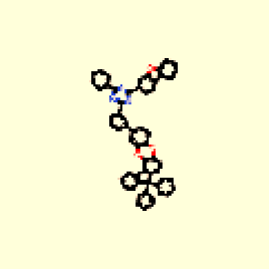 c1ccc(-c2nc(-c3cccc(-c4ccc5c(c4)Oc4c(ccc6c4-c4ccccc4C6(c4ccccc4)c4ccccc4)O5)c3)nc(-c3ccc4c(c3)oc3ccccc34)n2)cc1